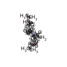 CN(C)CCNC(=O)N1CCC(C(OC(=O)/C=C/C(=O)OC(C(N)=O)C2CCN(C(=O)NCCN(C)C)C2(c2ccccc2)c2ccccc2)C(N)=O)C1(c1ccccc1)c1ccccc1.O